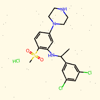 CC(Nc1cc(N2CCNCC2)ccc1S(C)(=O)=O)c1cc(Cl)cc(Cl)c1.Cl